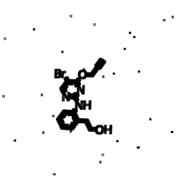 C#CCOc1nc(Nc2ccccc2CCO)ncc1Br